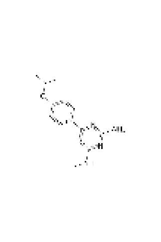 CNc1cc(-c2ccc(OC(C)C)cc2)nc(N)n1